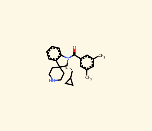 O=C(c1cc(C(F)(F)F)cc(C(F)(F)F)c1)N1c2ccccc2C2(CCNCC2)[C@H]1CC1CC1